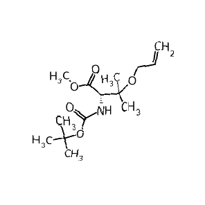 C=CCOC(C)(C)[C@H](NC(=O)OC(C)(C)C)C(=O)OC